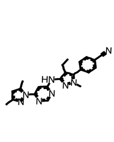 CCc1c(Nc2cc(-n3nc(C)cc3C)ncn2)nn(C)c1-c1ccc(C#N)cc1